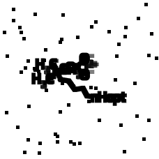 CCCCCCCCCCCC[N+](C)(C)C.[O-][Cl+2]([O-])[O-]